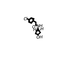 O=C(Cc1ccc(Cl)cc1)NC1[C@H]2CC(O)C[C@@H]12